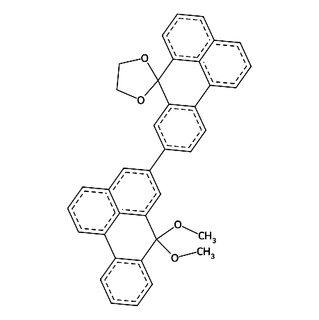 COC1(OC)c2ccccc2-c2cccc3cc(-c4ccc5c(c4)C4(OCCO4)c4cccc6cccc-5c46)cc1c23